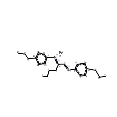 CCCCC(/C=N/c1ccc(CCC)cc1)=N\c1ccc(CCC)cc1.[Pd]